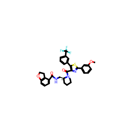 COc1cccc(-c2nc(C(=O)N3CCCC[C@H]3CNC(=O)c3cccc4c3CCO4)c(-c3cccc(C(F)(F)F)c3)s2)c1